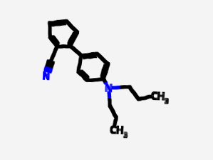 CCCN(CCC)c1ccc(-c2ccccc2C#N)cc1